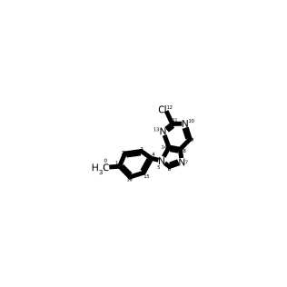 Cc1ccc(-n2cnc3cnc(Cl)nc32)cc1